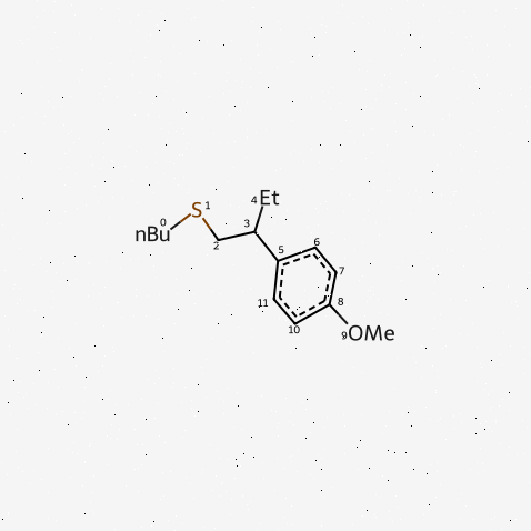 CCCCSCC(CC)c1ccc(OC)cc1